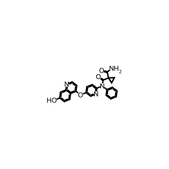 NC(=O)C1(C(=O)N(c2ccccc2)c2ccc(Oc3ccnc4cc(O)ccc34)cn2)CC1